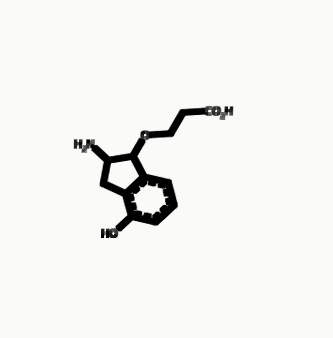 NC1Cc2c(O)cccc2C1OCCC(=O)O